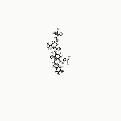 COC(=O)N[C@@H](CC/C=C/C(=O)N(C)C)C(=O)Nc1cccn(Cc2nc3cc(F)c(F)cc3n2CCOC(C)C)c1=O